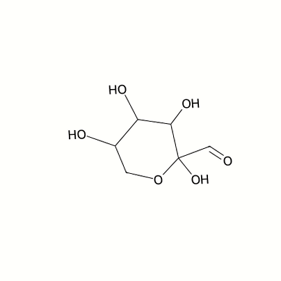 O=CC1(O)OCC(O)C(O)C1O